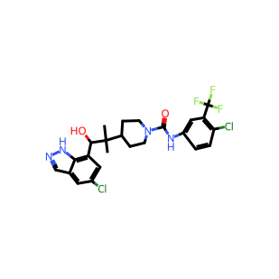 CC(C)(C1CCN(C(=O)Nc2ccc(Cl)c(C(F)(F)F)c2)CC1)C(O)c1cc(Cl)cc2cn[nH]c12